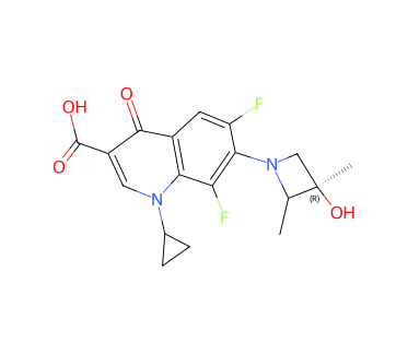 CC1N(c2c(F)cc3c(=O)c(C(=O)O)cn(C4CC4)c3c2F)C[C@@]1(C)O